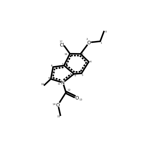 CCOc1ccc2c(cc(C)n2C(=O)OC)c1Cl